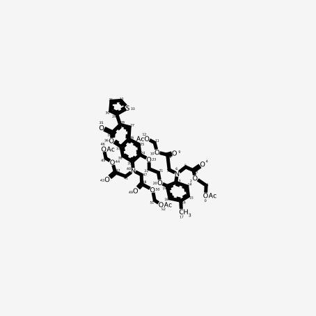 CC(=O)OCOC(=O)CN(CC(=O)OCOC(C)=O)c1ccc(C)cc1OCCOc1cc2cc(-c3cccs3)c(=O)oc2cc1N(CC(=O)OCOC(C)=O)CC(=O)OCOC(C)=O